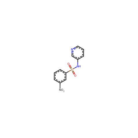 O=[N+]([O-])c1cccc(S(=O)(=O)Nc2cccnc2)c1